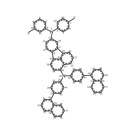 Cc1ccc(N(c2cccc(C)c2)c2ccc3c(c2)-c2cccc4c(N(c5ccc(-c6cccc7ccccc67)cc5)c5ccc(-c6cccc7ccccc67)cc5)ccc-3c24)cc1